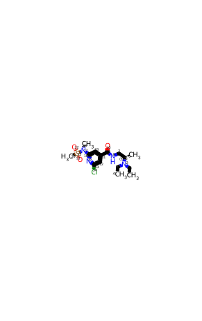 CCN(CC)[C@@H](C)CNC(=O)c1cc(Cl)nc(N(C)S(C)(=O)=O)c1